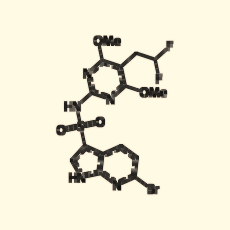 COc1nc(NS(=O)(=O)c2c[nH]c3nc(Br)ccc23)nc(OC)c1CC(F)F